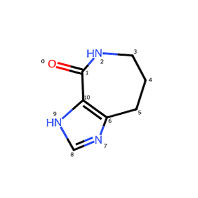 O=C1NCCCc2nc[nH]c21